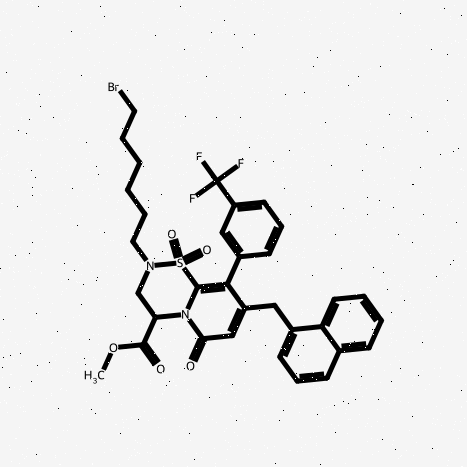 COC(=O)C1CN(CCCCCCBr)S(=O)(=O)c2c(-c3cccc(C(F)(F)F)c3)c(Cc3cccc4ccccc34)cc(=O)n21